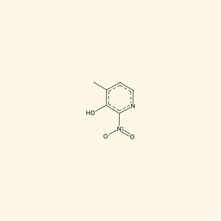 Cc1ccnc([N+](=O)[O-])c1O